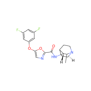 C[C@H]1[C@H](NC(=O)c2ncc(Oc3cc(F)cc(F)c3)o2)C2CCN1CC2